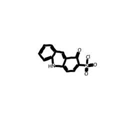 O=c1c2cc3ccccc3[nH]c-2ccc1S(=O)(=O)Cl